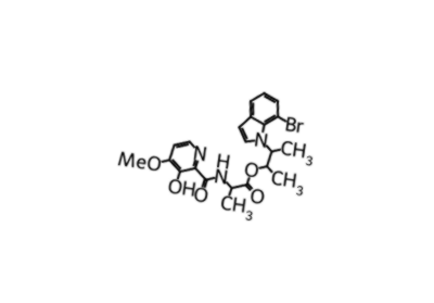 COc1ccnc(C(=O)NC(C)C(=O)OC(C)C(C)n2ccc3cccc(Br)c32)c1O